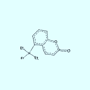 CC[Si](CC)(CC)c1cccc2oc(=O)ccc12